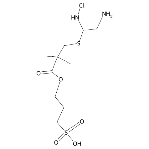 CC(C)(CSC(CN)NCl)C(=O)OCCCS(=O)(=O)O